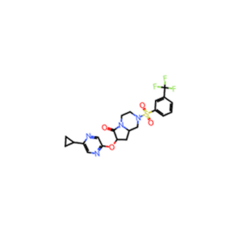 O=C1C(Oc2cnc(C3CC3)cn2)CC2CN(S(=O)(=O)c3cccc(C(F)(F)F)c3)CCN12